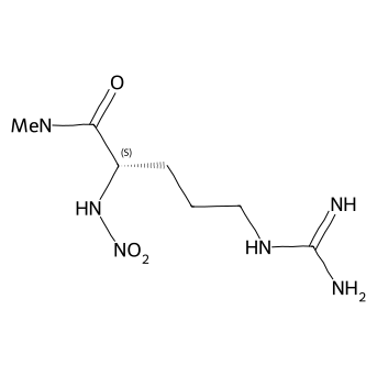 CNC(=O)[C@H](CCCNC(=N)N)N[N+](=O)[O-]